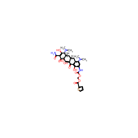 CN(C)c1cc(NC(=O)OCOC(=O)c2cccs2)c(O)c2c1C[C@H]1C[C@H]3[C@H](N(C)C)C(O)=C(C(N)=O)C(=O)[C@@]3(O)C(O)=C1C2=O